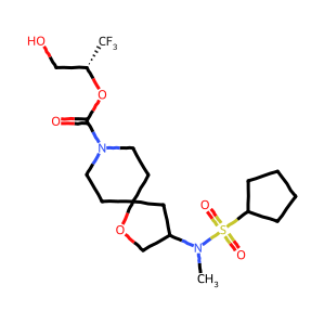 CN(C1COC2(CCN(C(=O)O[C@H](CO)C(F)(F)F)CC2)C1)S(=O)(=O)C1CCCC1